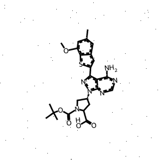 COc1cc(C)cc2cc(-c3nn([C@H]4CC(C(=O)O)N(C(=O)OC(C)(C)C)C4)c4ncnc(N)c34)sc12